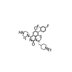 CCN1CCC(C[C@H]2CSc3c(-c4ccc(F)cc4F)c(Cl)cc4c(N5CCNC[C@@H]5C)nc(=O)n2c34)CC1